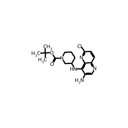 CC(C)(C)OC(=O)N1CCCC(Nc2c(N)cnc3ccc(Cl)nc23)C1